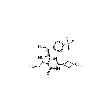 CC1CN(c2nc3c(c(=O)[nH]2)C(CO)NN3[C@@H](C)c2ccc(C(F)(F)F)cc2)C1